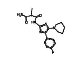 C[C](C(N)=O)C(=O)Nc1nc(-c2ccc(F)cc2)c(N2CCCCC2)s1